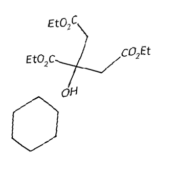 C1CCCCC1.CCOC(=O)CC(O)(CC(=O)OCC)C(=O)OCC